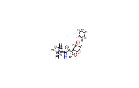 Cc1oc2ccc(OCc3ccccc3)cc2c1C(=O)NC1C[C@H]2CC[C@@H](C1)N2C